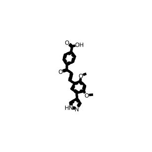 COc1cc(OC)c(-c2cn[nH]c2)cc1C=CC(=O)c1ccc(C(=O)O)cc1